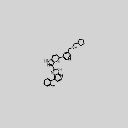 Fc1ccccc1-c1ccnc2[nH]c(-c3n[nH]c4ccc(-c5cncc(CNCC6CCCC6)c5)nc34)nc12